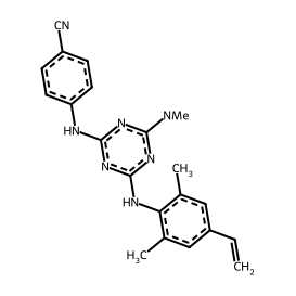 C=Cc1cc(C)c(Nc2nc(NC)nc(Nc3ccc(C#N)cc3)n2)c(C)c1